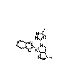 Cc1nnc(N2Cc3[nH]cnc3[C@@H]2c2nc3ccccc3o2)o1